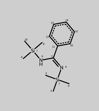 C[Si](C)(C)N=C(N[Si](C)(C)C)c1ccccc1